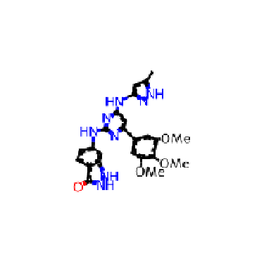 COc1cc(-c2cc(Nc3cc(C)[nH]n3)nc(Nc3ccc4c(=O)[nH][nH]c4c3)n2)cc(OC)c1OC